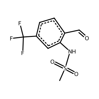 CS(=O)(=O)Nc1cc(C(F)(F)F)ccc1C=O